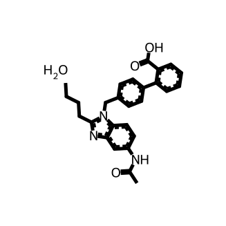 CCCCc1nc2cc(NC(C)=O)ccc2n1Cc1ccc(-c2ccccc2C(=O)O)cc1.O